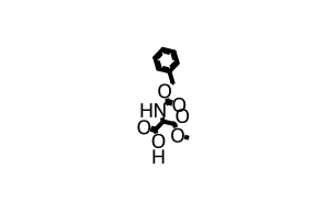 COC(=O)C(NC(=O)OCc1ccccc1)C(=O)O